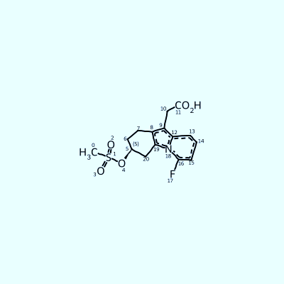 CS(=O)(=O)O[C@H]1CCc2c(CC(=O)O)c3cccc(F)n3c2C1